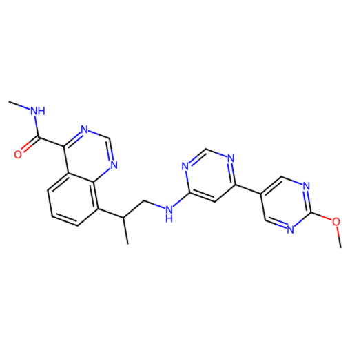 CNC(=O)c1ncnc2c(C(C)CNc3cc(-c4cnc(OC)nc4)ncn3)cccc12